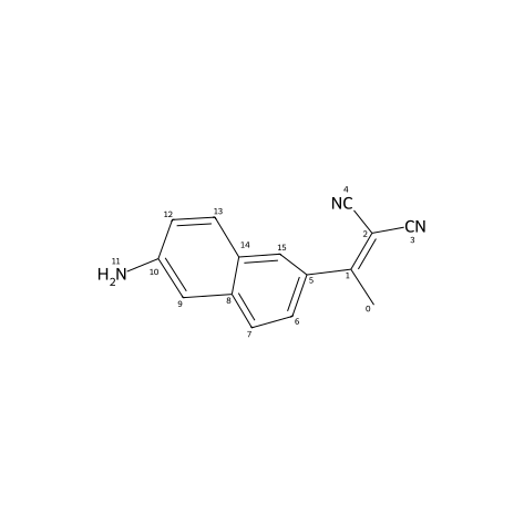 CC(=C(C#N)C#N)c1ccc2cc(N)ccc2c1